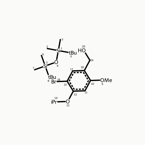 CC(C)(C)[Si](C)(C)O[Si](C)(C)C(C)(C)C.COc1cc(OC(C)C)c(Br)cc1CO